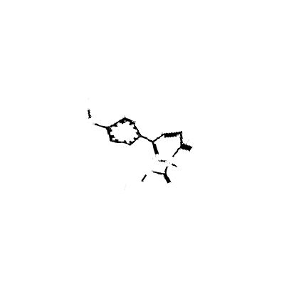 COC(=O)[N+]1(C)N=C(c2ccc(OC)cc2)C=CC1=O